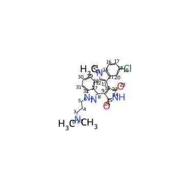 CN(C)CCCn1nc(C2=C(c3cn(C)c4ccc(Cl)cc34)C(=O)NC2=O)c2ccccc21